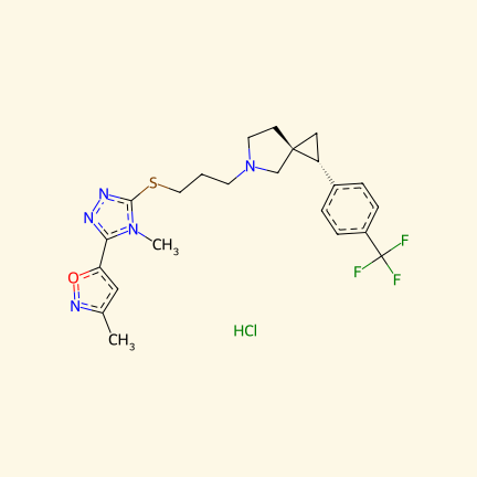 Cc1cc(-c2nnc(SCCCN3CC[C@]4(C[C@@H]4c4ccc(C(F)(F)F)cc4)C3)n2C)on1.Cl